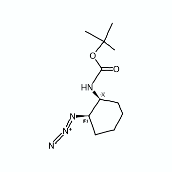 CC(C)(C)OC(=O)N[C@H]1CCCC[C@H]1N=[N+]=[N-]